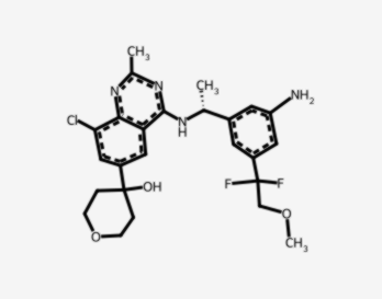 COCC(F)(F)c1cc(N)cc([C@@H](C)Nc2nc(C)nc3c(Cl)cc(C4(O)CCOCC4)cc23)c1